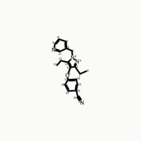 CCc1nn(Cc2cccnc2)c(CC)c1Oc1ccc(C#N)cc1